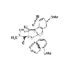 COc1ccc([C@@]23Oc4cc(OC)ccc4[C@]2(N=[N+]=[N-])[C@H](O)[C@H](C(=O)N(C)C)[C@H]3c2ccccc2)cc1